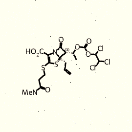 C=CC[C@]12SC(SCCC(=O)NC)=C(C(=O)O)N1C(=O)[C@@H]2C(C)OC(=O)OC(Cl)C(Cl)Cl